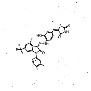 Cc1ccc(N2C(=O)C(=NNc3ccc(C=C4SC(=S)NC4=O)cc3O)c3c(F)cc(C(F)(F)F)cc32)cc1C